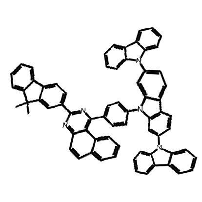 CC1(C)c2ccccc2-c2ccc(-c3nc(-c4ccc(-n5c6cc(-n7c8ccccc8c8ccccc87)ccc6c6ccc(-n7c8ccccc8c8ccccc87)cc65)cc4)c4c(ccc5ccccc54)n3)cc21